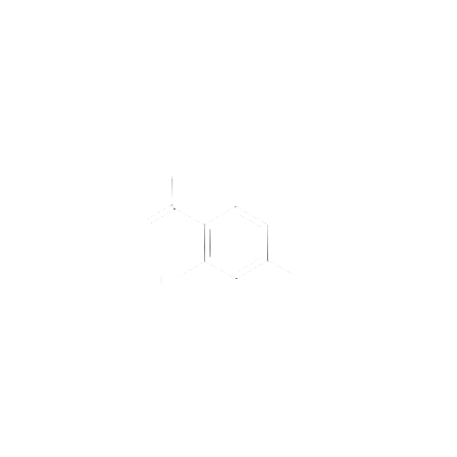 [CH2]C(=O)c1ccc(C)cc1C